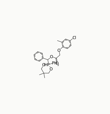 Cc1cc(Cl)ccc1OCC(=O)OC(c1ccccc1)[PH]1(P)OCC(C)(C)CO1